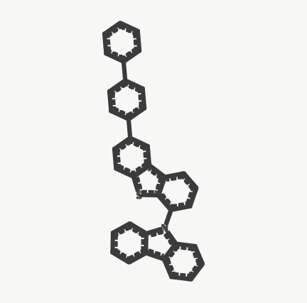 c1ccc(-c2ccc(-c3ccc4sc5c(-n6c7ccccc7c7ccccc76)cccc5c4c3)cc2)cc1